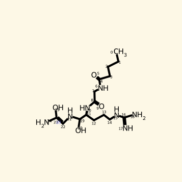 CCCCC(=O)NCC(=O)NC(CCCNC(=N)N)C(O)N/C=C(/N)O